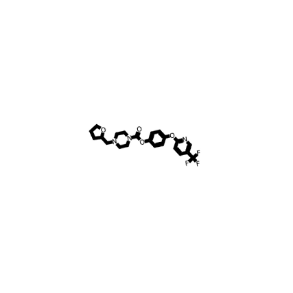 O=C(Oc1ccc(Oc2ccc(C(F)(F)F)cn2)cc1)N1CCN(CC2CCCO2)CC1